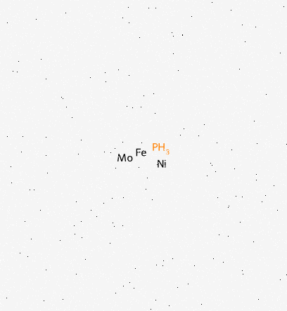 P.[Fe].[Mo].[Ni]